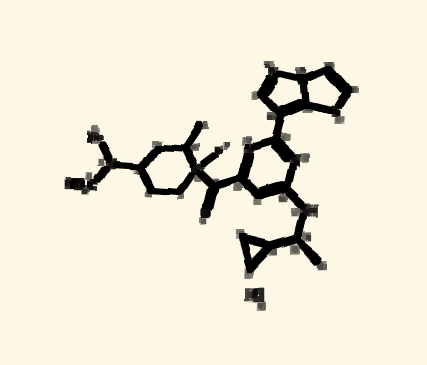 CC(C)N(C(=O)O)C1CC[N+](F)(C(=O)c2cc(N[C@@H](C)C3CC3)nc(-c3cnn4ccsc34)n2)C(C)C1.Cl